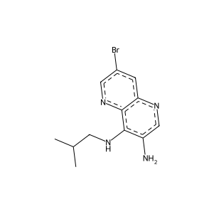 CC(C)CNc1c(N)cnc2cc(Br)cnc12